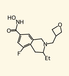 CCC1Cc2c(F)cc(C(=O)NO)cc2CN1CC1COC1